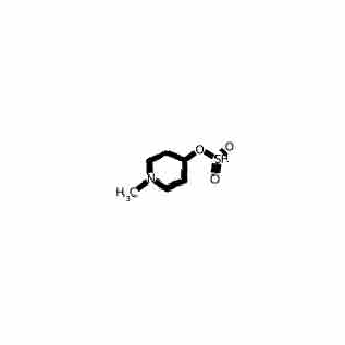 CN1CCC(O[SH](=O)=O)CC1